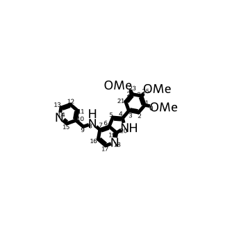 COc1cc(-c2cc3c(NCc4cccnc4)ccnc3[nH]2)cc(OC)c1OC